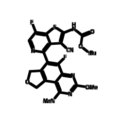 CNc1nc(OC)nc2c(F)c(-c3ncc(F)c4sc(NC(=O)OC(C)(C)C)c(C#N)c34)c3c(c12)COC3